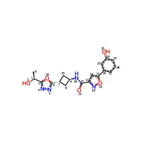 C[C@H](O)c1nnc([C@H]2C[C@H](NC(=O)c3cc(-c4cccc(O)c4)on3)C2)o1